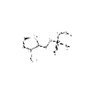 COP(=O)(S)OCC1OCCC1C